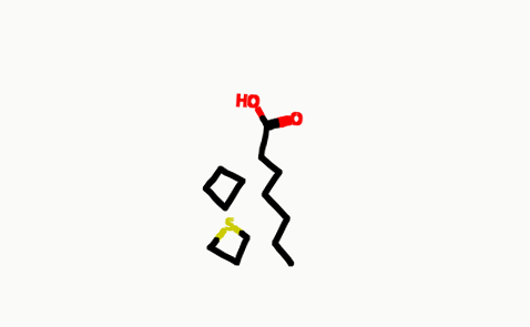 C1CCC1.C1CSC1.CCCCCCC(=O)O